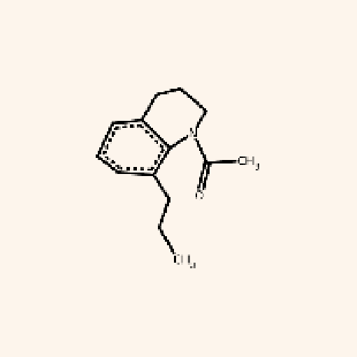 CCCc1cccc2c1N(C(C)=O)CCC2